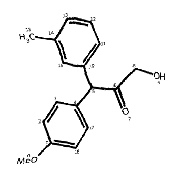 COc1ccc(C(C(=O)CO)c2cccc(C)c2)cc1